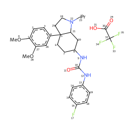 COc1ccc(C23CCC(NC(=O)Nc4ccc(F)cc4)CC2N(C(C)C)CC3)cc1OC.O=C(O)C(F)(F)F